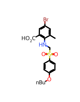 CCCCOc1ccc(S(=O)(=O)CNc2c(C)cc(Br)cc2C(=O)O)cc1